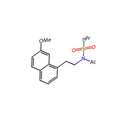 CCCS(=O)(=O)N(CCc1cccc2ccc(OC)cc12)C(C)=O